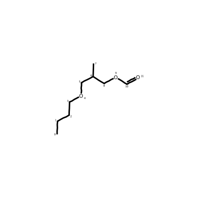 CCCCOCC(C)CO[C]=O